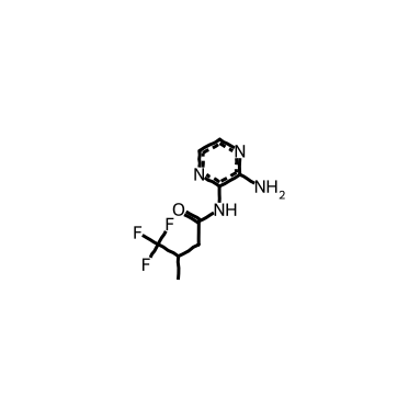 CC(CC(=O)Nc1nccnc1N)C(F)(F)F